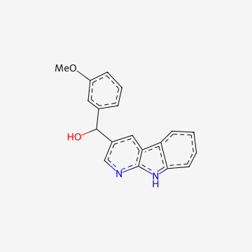 COc1cccc(C(O)c2cnc3[nH]c4ccccc4c3c2)c1